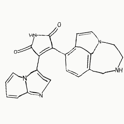 O=C1NC(=O)C(c2cnc3ccccn23)=C1c1ccc2c3c1ccn3CCNC2